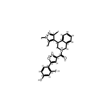 Cc1nn(C)c(C)c1C1CN(C(=O)c2cc(-c3ccc(F)cc3F)on2)Cc2ccccc21